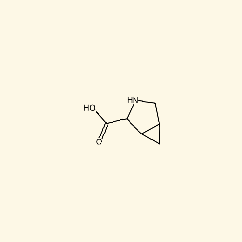 O=C(O)C1NCC2C[C]21